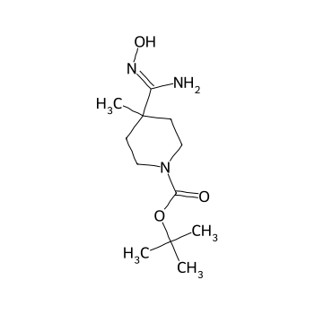 CC(C)(C)OC(=O)N1CCC(C)(/C(N)=N/O)CC1